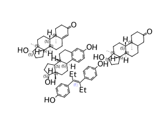 CC/C(=C(/CC)c1ccc(O)cc1)c1ccc(O)cc1.C[C@]12CC[C@@H]3c4ccc(O)cc4CC[C@H]3[C@@H]1CC[C@@H]2O.C[C@]12CC[C@H]3[C@@H](CCC4=CC(=O)CC[C@@]43C)[C@@H]1CC[C@@H]2O.C[C@]12CC[C@H]3[C@@H](CCC4CC(=O)CC[C@@]43C)[C@@H]1CC[C@@H]2O